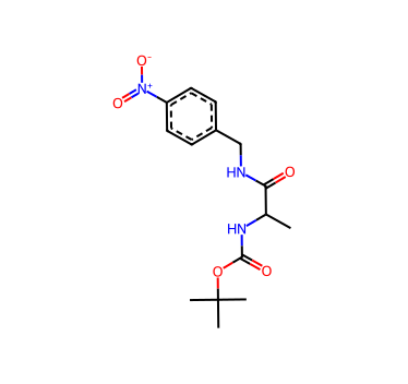 CC(NC(=O)OC(C)(C)C)C(=O)NCc1ccc([N+](=O)[O-])cc1